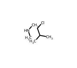 CC(C)CCl.CNC